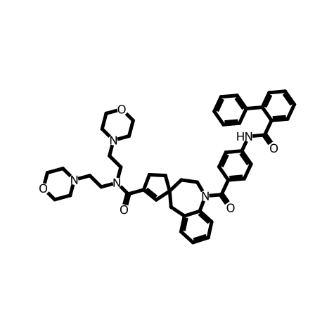 O=C(Nc1ccc(C(=O)N2CCC3(C=C(C(=O)N(CCN4CCOCC4)CCN4CCOCC4)CC3)Cc3ccccc32)cc1)c1ccccc1-c1ccccc1